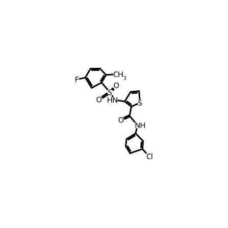 Cc1ccc(F)cc1S(=O)(=O)Nc1ccsc1C(=O)Nc1cccc(Cl)c1